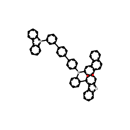 c1cc(-c2ccc(-c3ccc(N(c4ccc5ccc6ccccc6c5c4)c4ccccc4-c4cccc5oc6ccccc6c45)cc3)cc2)cc(-n2c3ccccc3c3ccccc32)c1